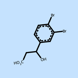 O=C(O)CC(O)c1ccc(Br)c(Br)c1